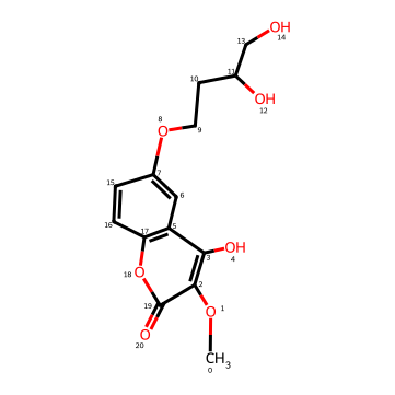 COc1c(O)c2cc(OCCC(O)CO)ccc2oc1=O